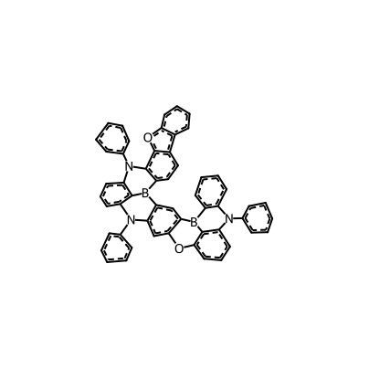 c1ccc(N2c3ccccc3B3c4cc5c(cc4Oc4cccc2c43)N(c2ccccc2)c2cccc3c2B5c2ccc4c(oc5ccccc54)c2N3c2ccccc2)cc1